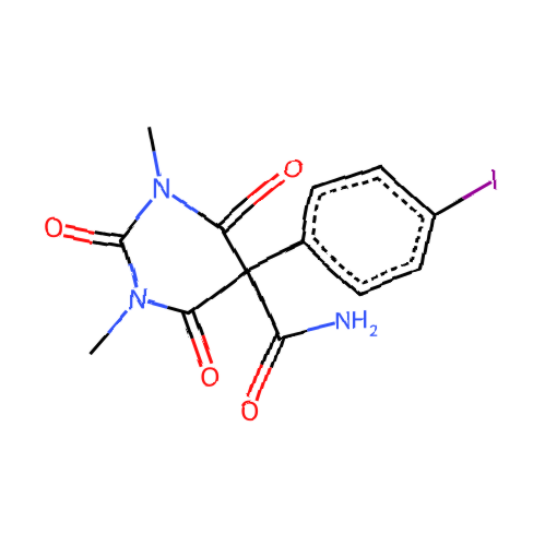 CN1C(=O)N(C)C(=O)C(C(N)=O)(c2ccc(I)cc2)C1=O